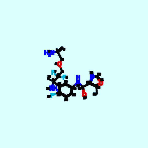 C=C(N)COCC(F)(F)[C@](C)(N)c1cc(NC(=O)c2ncoc2C)ccc1F